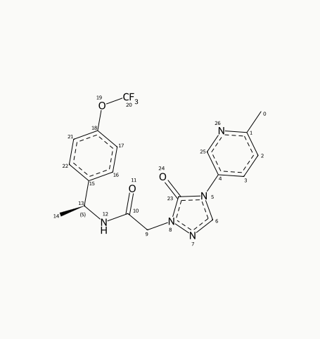 Cc1ccc(-n2cnn(CC(=O)N[C@@H](C)c3ccc(OC(F)(F)F)cc3)c2=O)cn1